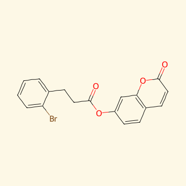 O=C(CCc1ccccc1Br)Oc1ccc2ccc(=O)oc2c1